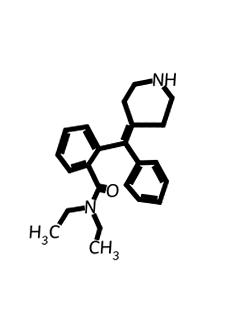 CCN(CC)C(=O)c1ccccc1C(=C1CCNCC1)c1ccccc1